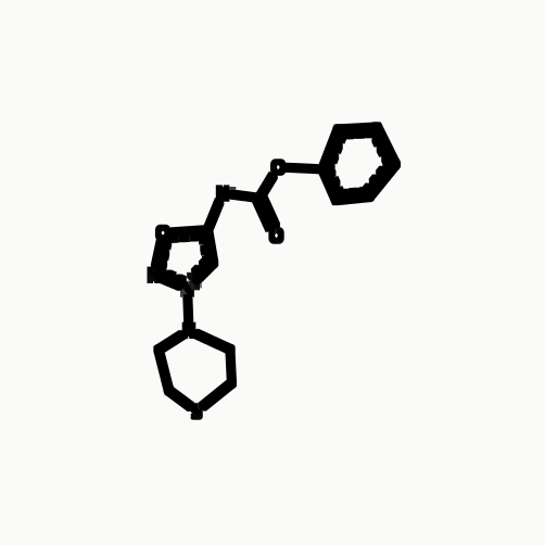 O=C([N-]c1c[n+](N2CCSCC2)no1)Oc1ccccc1